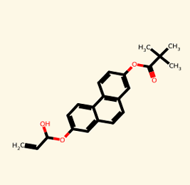 C=CC(O)Oc1ccc2c(ccc3cc(OC(=O)C(C)(C)C)ccc32)c1